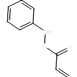 C=CC(=O)ONc1c[c]ccc1